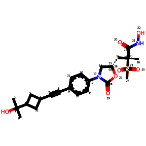 CC(C)(O)C1CC(C#Cc2ccc(N3C[C@H](C[C@](C)(C(=O)NO)S(C)(=O)=O)OC3=O)cc2)C1